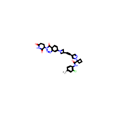 O=C1CCC(n2nnc3cc(N4CC(C#Cc5cnn(C6(C(=O)Nc7ccc(C(F)(F)F)cc7Cl)CCC6)c5)C4)ccc3c2=O)C(=O)N1